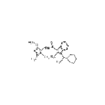 COc1nn(C)c(C)c1CNC(=O)c1c(C)n(C(C)C2CCCCC2)c2ccccc12